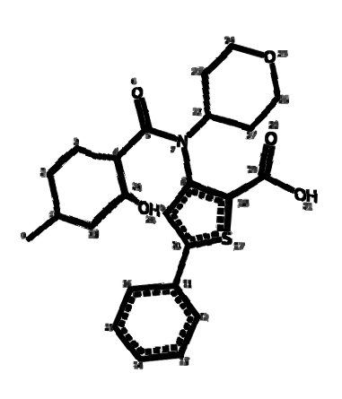 CC1CCC(C(=O)N(c2cc(-c3ccccc3)sc2C(=O)O)C2CCOCC2)C(O)C1